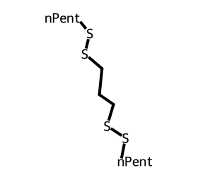 CCCCCSSCCCSSCCCCC